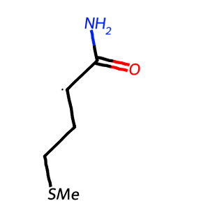 CSCC[CH]C(N)=O